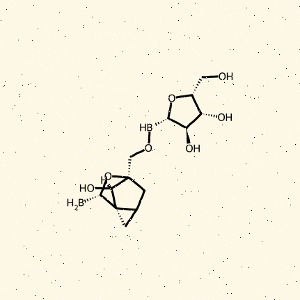 B[C@@H]1O[C@@]2(COB[C@@H]3O[C@H](CO)[C@H](O)[C@H]3O)CC3C[C@]31[C@@H]2O